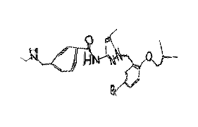 CCNCc1ccc(C(=O)Nc2cc(C)n(Cc3cc(Br)ccc3OCC(C)C)n2)cc1